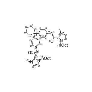 CCCCCCCCn1cc[n+](C)c1/C([O-])=N/c1ccc(C2(c3ccc(/N=C(\[O-])c4n(CCCCCCCC)cc[n+]4C)cc3)CCCCC2)cc1